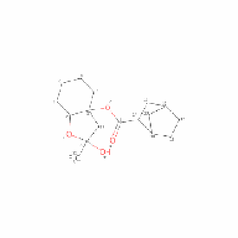 O=C(OC12CCCCC1OC(O)(C(F)(F)F)C2)C1CC2CCC1C2